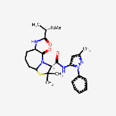 CN[C@@H](C)C(=O)NC1CCCC2SC(C)(C)[C@@H](C(=O)Nc3cc(C)nn3-c3ccccc3)N2C1=O